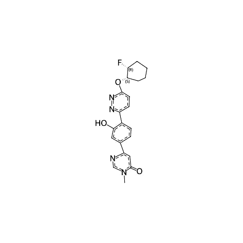 Cn1cnc(-c2ccc(-c3ccc(O[C@H]4CCCC[C@H]4F)nn3)c(O)c2)cc1=O